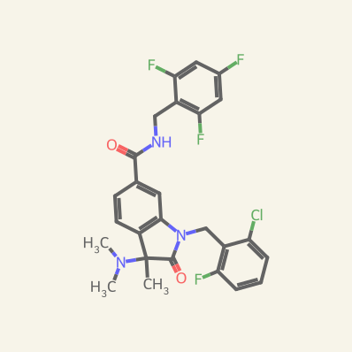 CN(C)C1(C)C(=O)N(Cc2c(F)cccc2Cl)c2cc(C(=O)NCc3c(F)cc(F)cc3F)ccc21